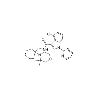 CC1(C)COCCN1C1(CNC(=O)c2cn(-c3ncccn3)c3cccc(Cl)c23)CCCCC1